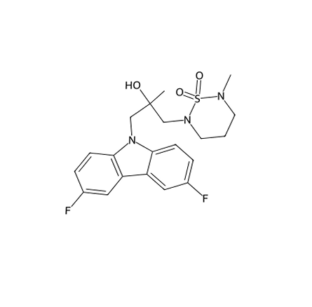 CN1CCCN(CC(C)(O)Cn2c3ccc(F)cc3c3cc(F)ccc32)S1(=O)=O